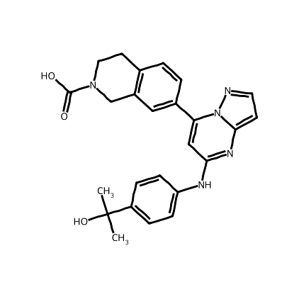 CC(C)(O)c1ccc(Nc2cc(-c3ccc4c(c3)CN(C(=O)O)CC4)n3nccc3n2)cc1